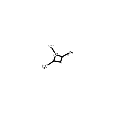 CC(C)C1CC(C)[S+]1[O-]